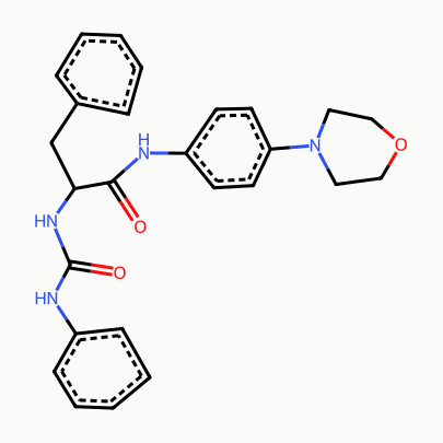 O=C(Nc1ccccc1)NC(Cc1ccccc1)C(=O)Nc1ccc(N2CCOCC2)cc1